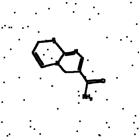 NC(=O)C1=CN=C2SCC=CN2C1